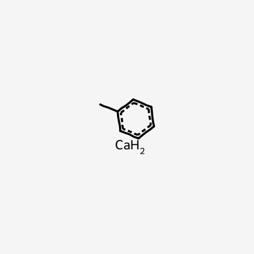 Cc1ccccc1.[CaH2]